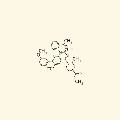 C=CC(=O)N1CCN(c2nc(=O)n(-c3ccccc3C(C)C)c3nc(-c4cc(OC)ccc4F)c(Cl)cc23)[C@@H](C)C1